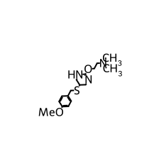 COc1ccc(CSC2CN=C(OCCN(C)C)NC2)cc1